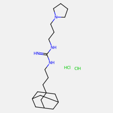 Cl.Cl.N=C(NCCCN1CCCC1)NCCCC12CC3CC(CC(C3)C1)C2